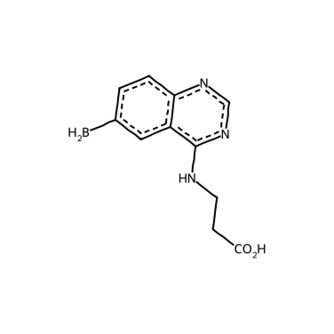 Bc1ccc2ncnc(NCCC(=O)O)c2c1